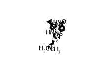 CN(C)CCCOc1cc(Nc2cc(C3CC3)[nH]n2)nc(Sc2ccc3c(=O)[nH][nH]c3c2)n1